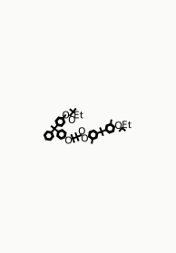 CCC(C)(C)Oc1ccc(C(C)(C)c2ccc(OC(=O)C(C)(C)C(C)(C)Oc3ccc(C(C)(c4ccccc4)c4ccc(OC(=O)C(C)(C)CC)cc4)cc3)c(C)c2)cc1C